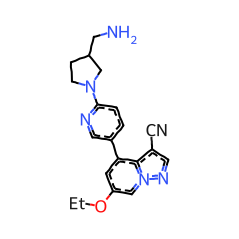 CCOc1cc(-c2ccc(N3CCC(CN)C3)nc2)c2c(C#N)cnn2c1